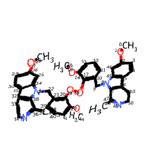 COc1ccc2c3c(n(Cc4cccc(OC)c4OOc4c(Cn5c6cc(OC)ccc6c6ccnc(C)c65)cccc4OC)c2c1)C(C)=NCC3